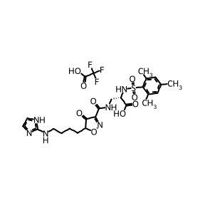 Cc1cc(C)c(S(=O)(=O)N[C@@H](CNC(=O)C2=NOC(CCCCNc3ncc[nH]3)C2=O)C(=O)O)c(C)c1.O=C(O)C(F)(F)F